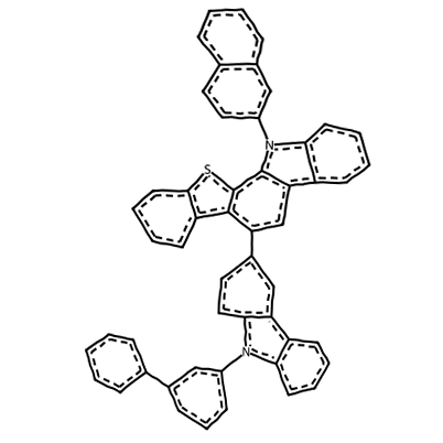 c1ccc(-c2cccc(-n3c4ccccc4c4cc(-c5cc6c7ccccc7n(-c7ccc8ccccc8c7)c6c6sc7ccccc7c56)ccc43)c2)cc1